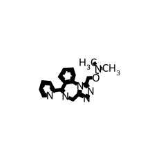 CN(C)OCc1nnc2n1-c1ccccc1C(c1ccccn1)=NC2